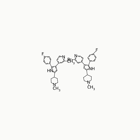 CN1CCC(c2cc(-c3ccnc(Br)c3)c(-c3ccc(F)cc3)[nH]2)CC1.Cc1cc(-c2cc(C3CCN(C)CC3)[nH]c2-c2ccc(F)cc2)ccn1